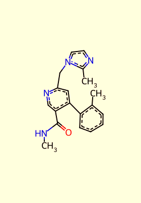 CNC(=O)c1cnc(Cn2ccnc2C)cc1-c1ccccc1C